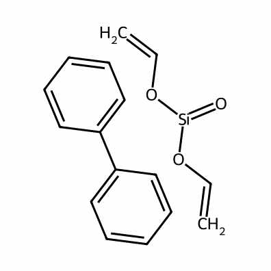 C=CO[Si](=O)OC=C.c1ccc(-c2ccccc2)cc1